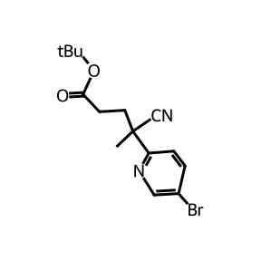 CC(C)(C)OC(=O)CCC(C)(C#N)c1ccc(Br)cn1